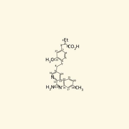 CCC(Cc1ccc(CCc2cnc3c(N)nc4cc(C)ccc4c3c2)c(C)c1)C(=O)O